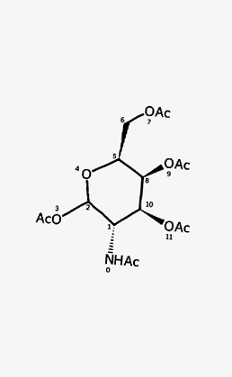 CC(=O)N[C@@H]1C(OC(C)=O)O[C@@H](COC(C)=O)[C@@H](OC(C)=O)[C@H]1OC(C)=O